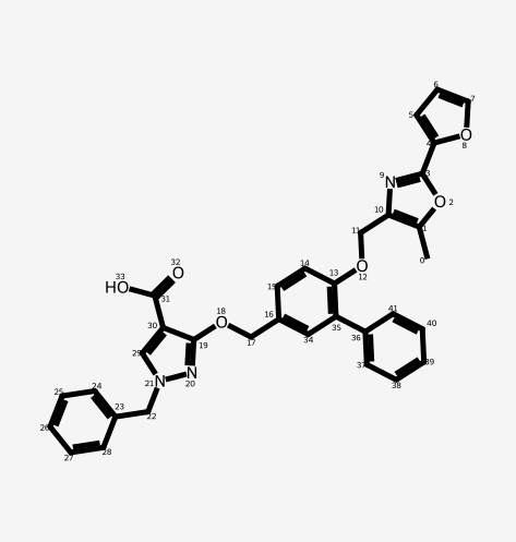 Cc1oc(-c2ccco2)nc1COc1ccc(COc2nn(Cc3ccccc3)cc2C(=O)O)cc1-c1ccccc1